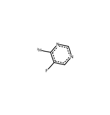 [2H]c1ncncc1F